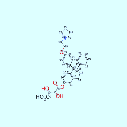 O=C(O)C(O)C(O)C(=O)Oc1ccc2c(c1)CC[C@H](c1ccccc1)[C@@H]2c1ccc(OCCN2CCCC2)cc1